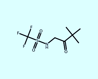 CC(C)(C)C(=O)CNS(=O)(=O)C(F)(F)F